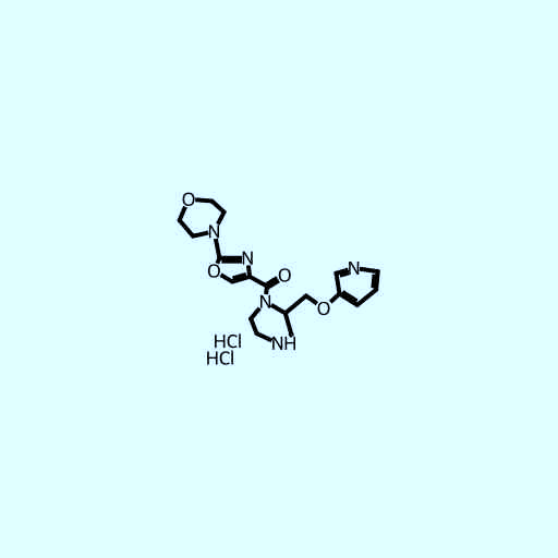 Cl.Cl.O=C(c1coc(N2CCOCC2)n1)N1CCNCC1COc1cccnc1